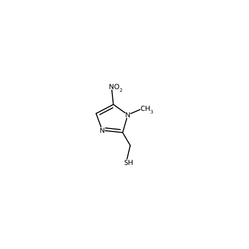 Cn1c([N+](=O)[O-])cnc1CS